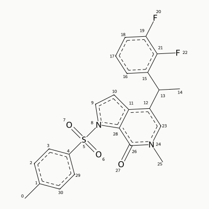 Cc1ccc(S(=O)(=O)n2ccc3c(C(C)c4cccc(F)c4F)cn(C)c(=O)c32)cc1